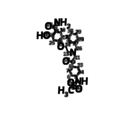 CS(=O)(=O)Nc1ccc(C(=O)CN(CCOc2ccc(C(N)=O)c(O)c2)Cc2ccccc2)cc1